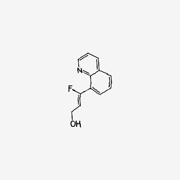 OCC=C(F)c1cccc2cccnc12